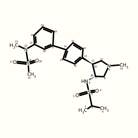 CC(C)S(=O)(=O)N[C@H]1CN(C)C[C@@H]1c1ccc(-c2cccc(N(C)S(C)(=O)=O)c2)cc1